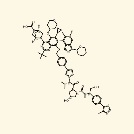 Cc1ncsc1-c1ccc([C@H](CO)NC(=O)[C@@H]2C[C@@H](O)CN2C(=O)[C@H](C(C)C)n2cc(-c3ccc(COc4c(-c5c(C)c(F)cc6c5cnn6C5CCCCO5)c(C5CC5)c(OC5CCOCC5)c5c(N6C[C@@H]7C[C@H]6CN7C(=O)O)nc(C(C)(C)C)nc45)cc3)nn2)cc1